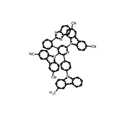 Cc1ccc2c(c1)c1ccccc1n2-c1ccc(-c2nc(-n3c4ccc(C#N)cc4c4cc(C#N)ccc43)cc(-c3ccccc3-c3nc4ccccc4s3)c2-n2c3ccc(C#N)cc3c3cc(C#N)ccc32)cc1